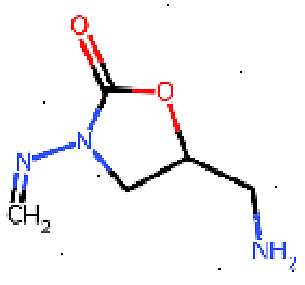 C=NN1CC(CN)OC1=O